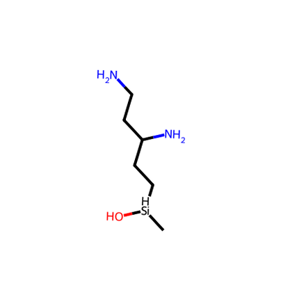 C[SiH](O)CCC(N)CCN